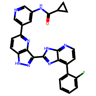 O=C(Nc1cncc(-c2ccc3[nH]nc(-c4nc5c(-c6ccccc6F)ccnc5[nH]4)c3n2)c1)C1CC1